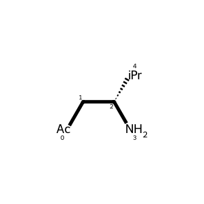 CC(=O)C[C@@H](N)C(C)C